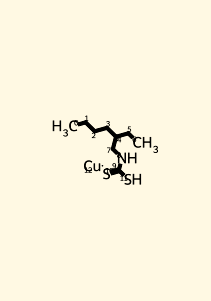 CCCCC(CC)CNC(=S)S.[Cu]